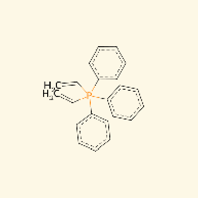 C=CP(C=C)(c1ccccc1)(c1ccccc1)c1ccccc1